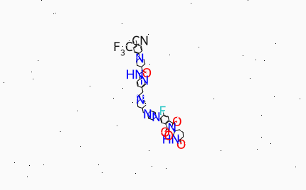 N#Cc1ccc(N2CCC(C(=O)Nc3ccc(CCN4CCC(CN5CCN(c6cc7c(cc6F)C(=O)N(C6CCCC(=O)NC6=O)C7=O)CC5)CC4)cn3)CC2)cc1C(F)(F)F